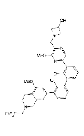 CCOC(=O)CN1CCc2c(cc(-c3cccc(-c4cccc(-c5cnc(CN6CC(O)C6)c(OC)n5)c4Cl)c3Cl)cc2OC)C1